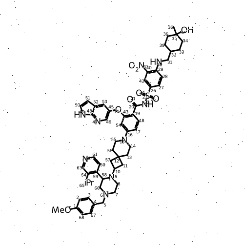 COc1ccc(CN2CCN(C3CC4(CCN(c5ccc(C(=O)NS(=O)(=O)c6ccc(NCC7CCC(C)(O)CC7)c([N+](=O)[O-])c6)c(Oc6cnc7[nH]ccc7c6)c5)CC4)C3)C(c3ccncc3C(C)C)C2)cc1